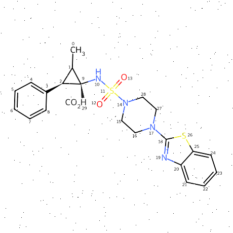 CC1[C@H](c2ccccc2)[C@]1(NS(=O)(=O)N1CCN(c2nc3ccccc3s2)CC1)C(=O)O